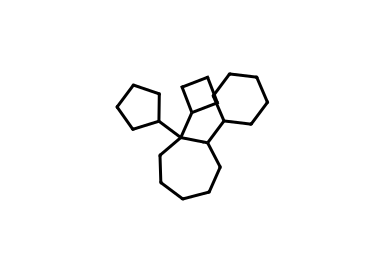 C1CCC([C]2CCCCCC2(C2CCCC2)C2CCC2)CC1